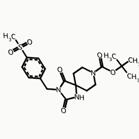 CC(C)(C)OC(=O)N1CCC2(CC1)NC(=O)N(Cc1ccc(S(C)(=O)=O)cc1)C2=O